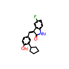 O=C1Nc2ccc(F)cc2C1=Cc1ccc(O)c(C2CCCC2)c1